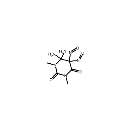 CN1C(=O)N(C)C(N)(N)C(N=O)(N=O)C1=O